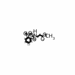 COC(=O)CCNS(=O)(=O)c1ccccc1[N+](=O)[O-]